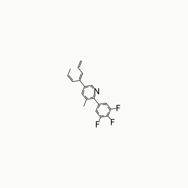 C=C/C=C(\C=C/C)c1cnc(-c2cc(F)c(F)c(F)c2)c(C)c1